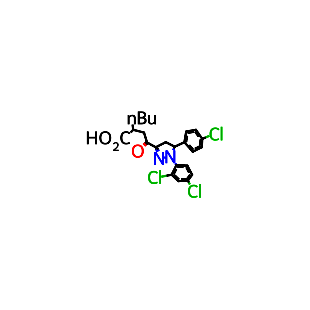 CCCCC(CC(=O)C1=NN(c2ccc(Cl)cc2Cl)C(c2ccc(Cl)cc2)C1)C(=O)O